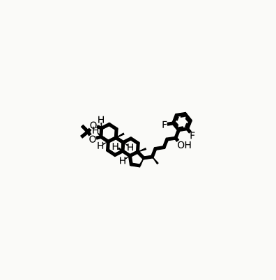 C[C@H](CCCC(O)c1c(F)cccc1F)[C@H]1CC[C@H]2[C@@H]3CC[C@H]4[C@H]5OC(C)(C)O[C@H]5CC[C@]4(C)[C@H]3CC[C@]12C